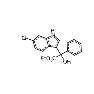 CCOC(=O)C(O)(c1ccccc1)c1c[nH]c2cc(Cl)ccc12